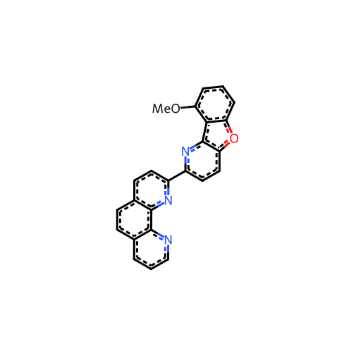 COc1cccc2oc3ccc(-c4ccc5ccc6cccnc6c5n4)nc3c12